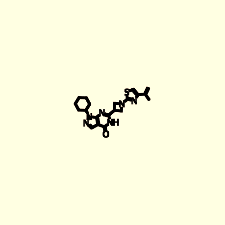 C=C(C)c1csc(N2CC(c3nc4c(cnn4C4CCCCC4)c(=O)[nH]3)C2)n1